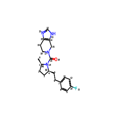 C[C@@H]1CC[C@H](CCc2ccc(F)cc2)N1C(=O)N1CCc2nc[nH]c2C1